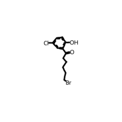 O=C(CCCCCBr)c1cc(Cl)ccc1O